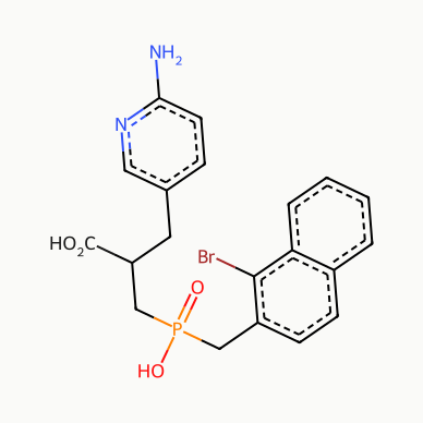 Nc1ccc(CC(CP(=O)(O)Cc2ccc3ccccc3c2Br)C(=O)O)cn1